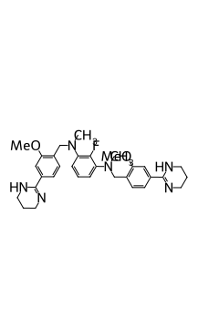 COc1cc(C2=NCCCN2)ccc1CN(C)c1cccc(N(C)Cc2ccc(C3=NCCCN3)cc2OC)c1F